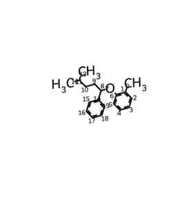 Cc1ccccc1OC(CCC(C)C)c1ccccc1